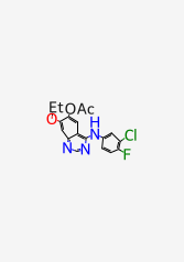 CCOc1cc2ncnc(Nc3ccc(F)c(Cl)c3)c2cc1OC(C)=O